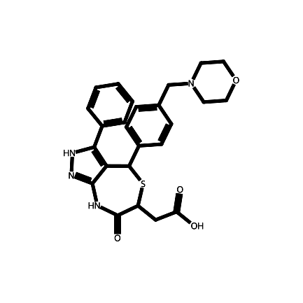 O=C(O)CC1SC(c2ccc(CN3CCOCC3)cc2)c2c(n[nH]c2-c2ccccc2)NC1=O